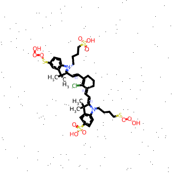 CC1(C)C(/C=C/C2=C(Cl)C(=C/C=C3/N(CCCCSOOO)c4ccc(S(=O)(=O)O)cc4C3(C)C)/CCC2)=[N+](CCCCS(=O)(=O)O)c2ccc(SOOO)cc21